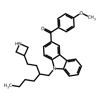 CCCCC(CCC1CNC1)Cn1c2ccccc2c2cc(C(=O)c3ccc(OC)cc3)ccc21